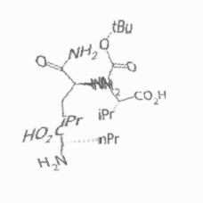 CC(C)C[C@H](N)C(N)=O.CC(C)[C@H](NC(=O)OC(C)(C)C)C(=O)O.CCC[C@H](N)C(=O)O